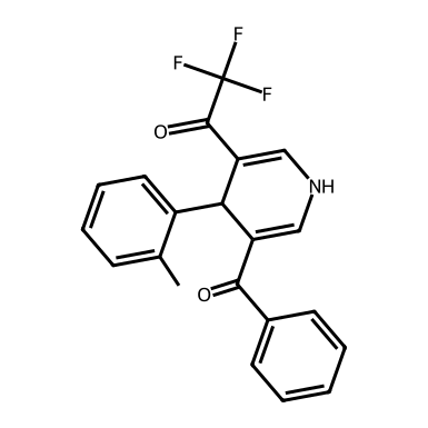 Cc1ccccc1C1C(C(=O)c2ccccc2)=CNC=C1C(=O)C(F)(F)F